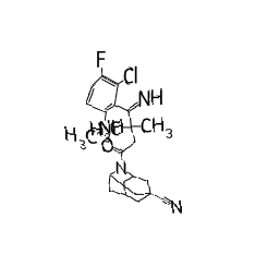 CNc1ccc(F)c(Cl)c1C(=N)C(C)(C)CC(=O)N1C2CC3CC1CC(C#N)(C3)C2